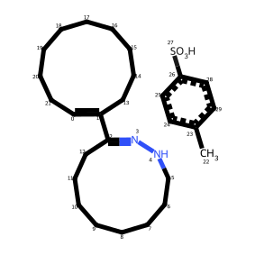 C1=C(C2=NNCCCCCCCC2)CCCCCCCCC1.Cc1ccc(S(=O)(=O)O)cc1